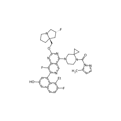 CCc1c(F)ccc2cc(O)cc(-c3ncc4c(N5CCN(C(=O)n6nccc6C)C6(CC6)C5)nc(OC[C@@]56CCCN5C[C@H](F)C6)nc4c3F)c12